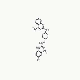 CN(C)c1nc(NC2CCC(CNC(=O)Nc3ccc(Cl)cc3C(F)(F)F)CC2)nc2ccccc12